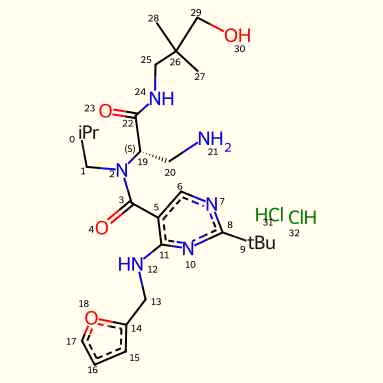 CC(C)CN(C(=O)c1cnc(C(C)(C)C)nc1NCc1ccco1)[C@@H](CN)C(=O)NCC(C)(C)CO.Cl.Cl